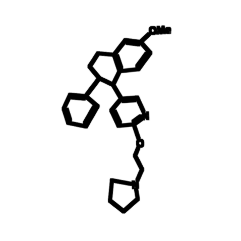 COc1ccc2c(c1)CCC(c1ccccc1)C2c1ccc(OCCN2CCCC2)nc1